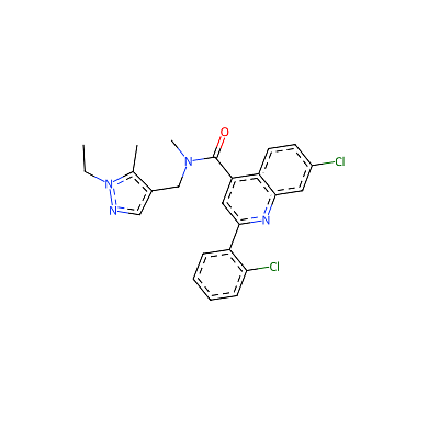 CCn1ncc(CN(C)C(=O)c2cc(-c3ccccc3Cl)nc3cc(Cl)ccc23)c1C